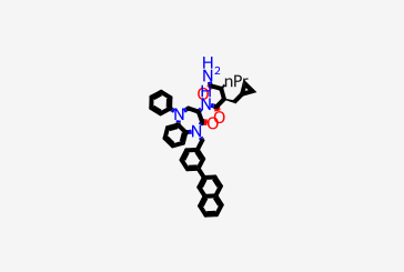 CCC[C@H](C(N)=O)[C@@H](CC1CC1)C(=O)NC1CN(c2ccccc2)c2ccccc2N(Cc2cccc(-c3ccc4ccccc4c3)c2)C1=O